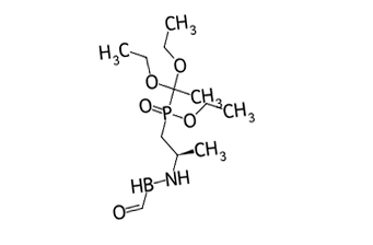 CCOC(C)(OCC)P(=O)(C[C@@H](C)NBC=O)OCC